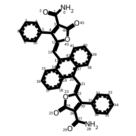 NC(=O)C1=C(c2ccccc2)C(=Cc2c3ccccc3c(C=C3OC(=O)C(C(N)=O)=C3c3ccccc3)c3ccccc23)OC1=O